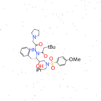 COc1ccc(S(=O)(=O)N(CC(C)C)C[C@@H](O)[C@H](Cc2ccccc2)N(NC(=O)CN2CCCC2)C(=O)CC(C)(C)C)cc1